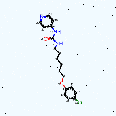 O=C(NCCCCCCOc1ccc(Cl)cc1)Nc1ccncc1